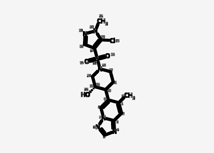 Cc1cc2ncnn2cc1C1CCN(S(=O)(=O)c2cnn(C)c2Cl)C[C@H]1O